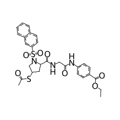 CCOC(=O)c1ccc(NC(=O)CNC(=O)C2CC(SC(C)=O)CN2S(=O)(=O)c2ccc3ccccc3c2)cc1